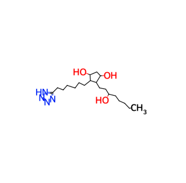 CCCCCC(O)CCC1C(O)CC(O)C1CCCCCCc1nnn[nH]1